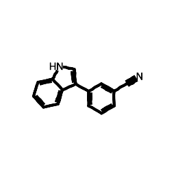 N#Cc1cccc(-c2c[nH]c3ccccc23)c1